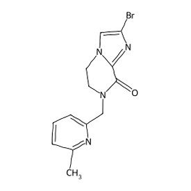 Cc1cccc(CN2CCn3cc(Br)nc3C2=O)n1